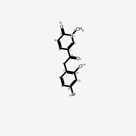 Cn1cc(C(=O)Cc2ccc(Br)cc2Cl)ccc1=O